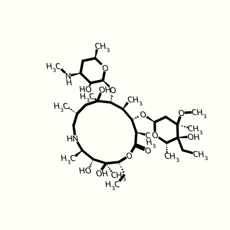 CC[C@H]1OC(=O)[C@H](C)[C@@H](O[C@H]2C[C@@](C)(OC)[C@](O)(CC)[C@H](C)O2)[C@H](C)[C@@H](O[C@@H]2O[C@H](C)C[C@H](NC)[C@H]2O)[C@](C)(O)C[C@@H](C)CN[C@H](C)[C@@H](O)[C@]1(C)O